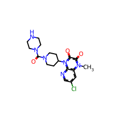 Cn1c(=O)c(=O)n(C2CCN(C(=O)N3CCNCC3)CC2)c2ncc(Cl)cc21